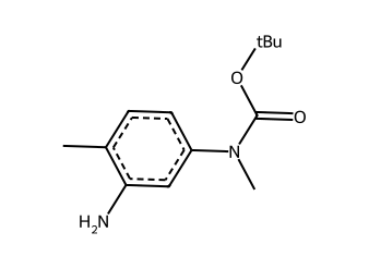 Cc1ccc(N(C)C(=O)OC(C)(C)C)cc1N